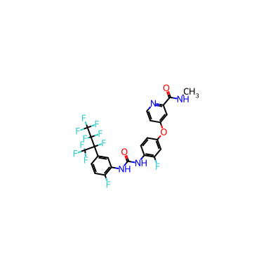 CNC(=O)c1cc(Oc2ccc(NC(=O)Nc3cc(C(F)(C(F)(F)F)C(F)(F)C(F)(F)F)ccc3F)c(F)c2)ccn1